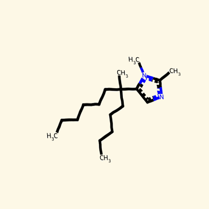 CCCCCCC(C)(CCCCC)c1cnc(C)n1C